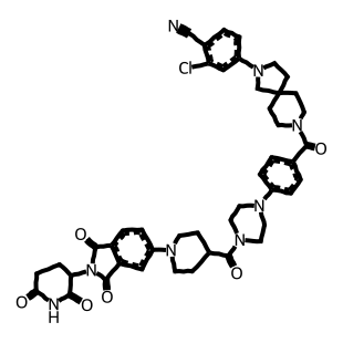 N#Cc1ccc(N2CCC3(CCN(C(=O)c4ccc(N5CCN(C(=O)C6CCN(c7ccc8c(c7)C(=O)N(C7CCC(=O)NC7=O)C8=O)CC6)CC5)cc4)CC3)C2)cc1Cl